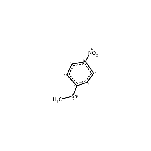 [CH3][Sn][c]1ccc([N+](=O)[O-])cc1